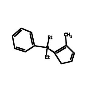 CC[Si](CC)(C1=C(C)C=CC1)c1ccccc1